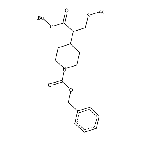 CC(=O)SCC(C(=O)OC(C)(C)C)C1CCN(C(=O)OCc2ccccc2)CC1